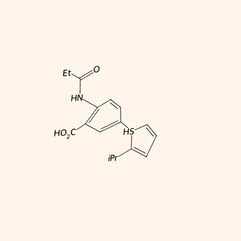 CCC(=O)Nc1ccc([SH]2C=CC=C2C(C)C)cc1C(=O)O